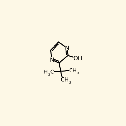 CC(C)(C)c1nccnc1O